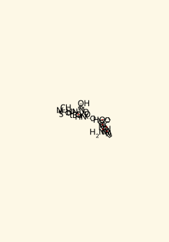 Cc1ncsc1-c1ccc(CNC(=O)[C@@H]2C[C@@H](O)CN2C(=O)[C@@H](NC(=O)C[C@H]2CC[C@@H](Cc3ccc(-c4cnc(N5C6CCC5CN(c5cc(-c7ccccc7O)nnc5N)C6)nc4)cc3)CC2)C(C)(C)C)cc1